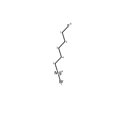 FCCCC[CH2][Mg][Br]